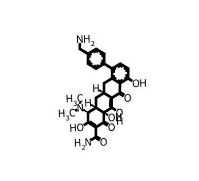 CN(C)[C@@H]1C(O)=C(C(N)=O)C(=O)[C@@]2(O)C(O)=C3C(=O)c4c(O)ccc(-c5ccc(CN)cc5)c4C[C@H]3C[C@@H]12